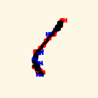 CNC(=O)COc1cc2cc(Nc3nc(N4CCC(C(=O)NCCOCCOCCOCCOCCNC(=O)CO/N=C5\CCC6C7CCc8cc(O)ccc8C7CC[C@]56C)CC4)ncc3Cl)cc(OC)c2n(C)c1=O